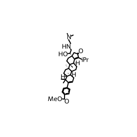 COC(=O)c1ccc(C2=CC[C@]3(C)[C@H]4CC[C@@H]5C6=C(C(C)C)C(=O)C[C@]6(C(O)CNCCN(C)C)CC[C@@]5(C)[C@]4(C)CC[C@H]3C2(C)C)cc1